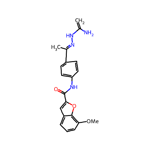 C=C(N)N/N=C(\C)c1ccc(NC(=O)c2cc3cccc(OC)c3o2)cc1